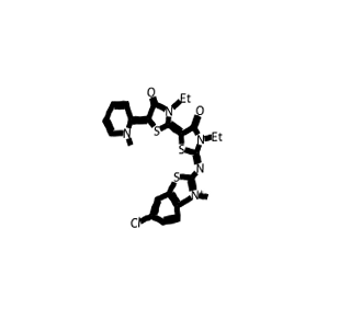 CCN1C(=O)/C(=c2/s/c(=C3/C=CC=CN3C)c(=O)n2CC)S/C1=N\c1sc2cc(Cl)ccc2[n+]1C